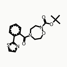 CC(C)(C)OC(=O)N1CCN(C(=O)c2ccccc2-c2nccs2)CCO1